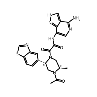 CC(=O)N1C[C@H](c2ccc3scnc3c2)N(C(=O)C(=O)Nc2cnc(N)c3c[nH]nc23)C[C@H]1C